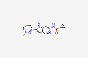 Cc1nccc(-c2cc3cnc(NC(=O)C4CC4)cc3[nH]2)n1